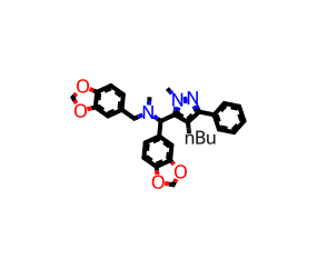 CCCCc1c(-c2ccccc2)nn(C)c1C(c1ccc2c(c1)OCO2)N(C)Cc1ccc2c(c1)OCO2